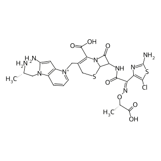 C[C@H](N)Cn1c(N)cc2c1ccc[n+]2CC1=C(C(=O)O)N2C(=O)C(NC(=O)/C(=N\O[C@@H](C)C(=O)O)c3nc(N)sc3Cl)C2SC1